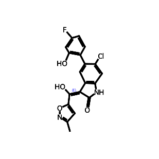 Cc1cc(/C(O)=C2\C(=O)Nc3cc(Cl)c(-c4ccc(F)cc4O)cc32)on1